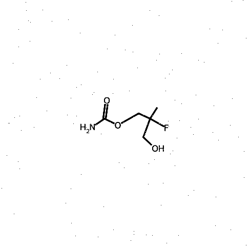 CC(F)(CO)COC(N)=O